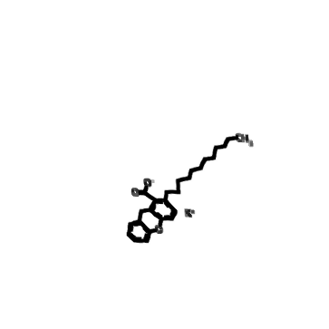 CCCCCCCCCCCCc1ccc2c(c1C(=O)[O-])Cc1ccccc1O2.[K+]